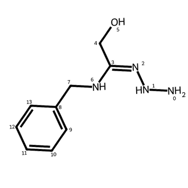 NN/N=C(/CO)NCc1ccccc1